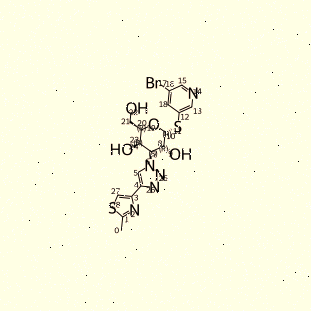 Cc1nc(-c2cn([C@@H]3[C@@H](O)[C@@H](Sc4cncc(Br)c4)O[C@H](CO)[C@@H]3O)nn2)cs1